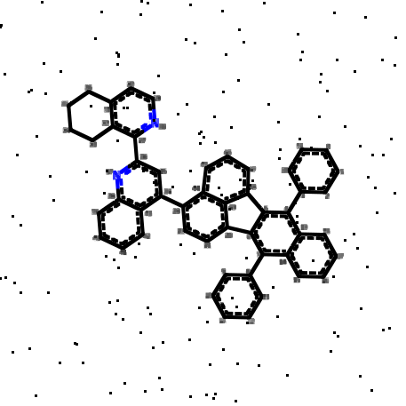 c1ccc(-c2c3c(c(-c4ccccc4)c4ccccc24)-c2ccc(-c4cc(-c5nccc6c5CCCC6)nc5ccccc45)c4cccc-3c24)cc1